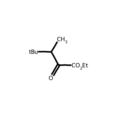 CCOC(=O)C(=O)C(C)C(C)(C)C